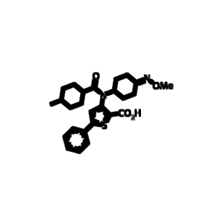 CON=C1CCC(N(C(=O)C2CCC(C)CC2)c2cc(-c3ccccc3)sc2C(=O)O)CC1